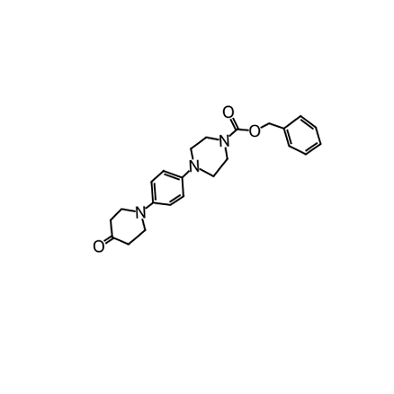 O=C1CCN(c2ccc(N3CCN(C(=O)OCc4ccccc4)CC3)cc2)CC1